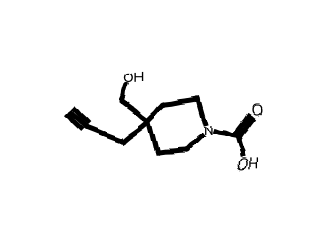 C#CCC1(CO)CCN(C(=O)O)CC1